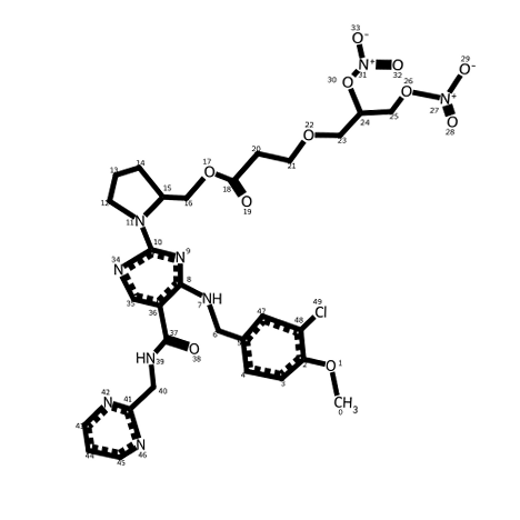 COc1ccc(CNc2nc(N3CCCC3COC(=O)CCOCC(CO[N+](=O)[O-])O[N+](=O)[O-])ncc2C(=O)NCc2ncccn2)cc1Cl